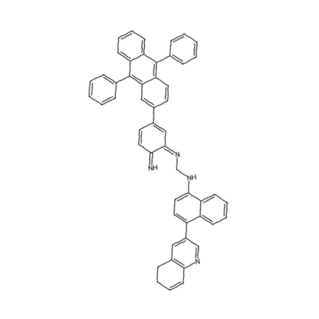 N=C1C=CC(c2ccc3c(-c4ccccc4)c4ccccc4c(-c4ccccc4)c3c2)=C/C1=N/CNc1ccc(-c2cnc3c(c2)CCC=C3)c2ccccc12